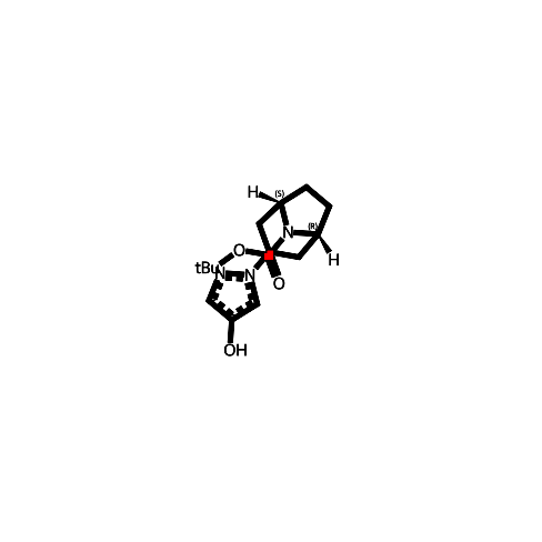 CC(C)(C)OC(=O)N1[C@@H]2CC[C@H]1CC(n1cc(O)cn1)C2